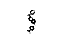 CC(O)c1ccc(Oc2ccc3nc(C(=O)N4CCNCC4)ccc3c2)cc1